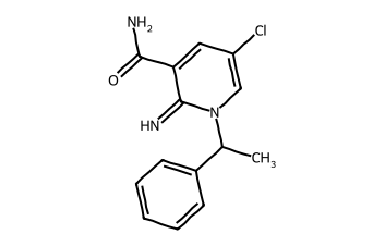 CC(c1ccccc1)n1cc(Cl)cc(C(N)=O)c1=N